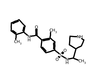 Cc1ccccc1NC(=O)c1ccc(S(=O)(=O)NC(C)C2CCNCC2)cc1C